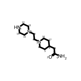 NC(=O)CC1CCN(CCN2CCNCC2)CC1